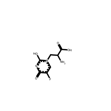 NC(Cn1cc(F)c(=O)nc1O)C(=O)O